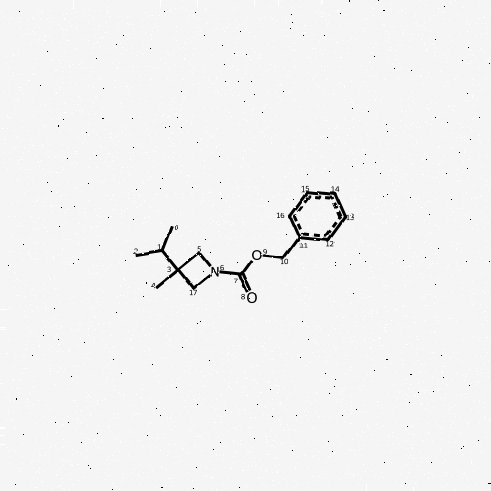 CC(C)C1(C)CN(C(=O)OCc2ccccc2)C1